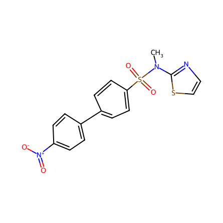 CN(c1nccs1)S(=O)(=O)c1ccc(-c2ccc([N+](=O)[O-])cc2)cc1